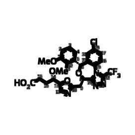 COc1cccc([C@H]2O[C@H](Cc3ncc(CCCC(=O)O)o3)c3nnc(C(F)(F)F)n3-c3ccc(Cl)cc32)c1OC